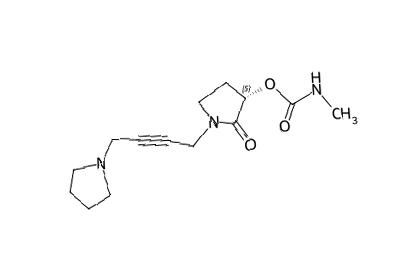 CNC(=O)O[C@H]1CCN(CC#CCN2CCCC2)C1=O